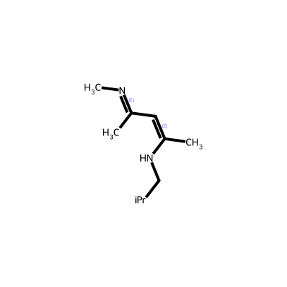 C/N=C(C)/C=C(/C)NCC(C)C